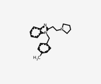 Cc1ccc(Cn2c(CCN3CCCC3)nc3ccccc32)cc1